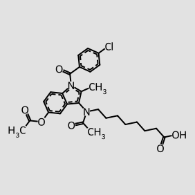 CC(=O)Oc1ccc2c(c1)c(N(CCCCCCCC(=O)O)C(C)=O)c(C)n2C(=O)c1ccc(Cl)cc1